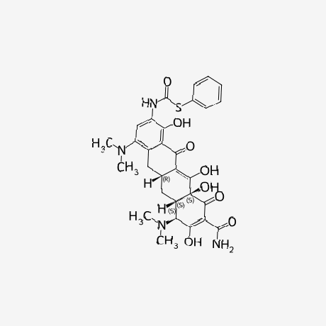 CN(C)c1cc(NC(=O)Sc2ccccc2)c(O)c2c1C[C@H]1C[C@H]3[C@H](N(C)C)C(O)=C(C(N)=O)C(=O)[C@@]3(O)C(O)=C1C2=O